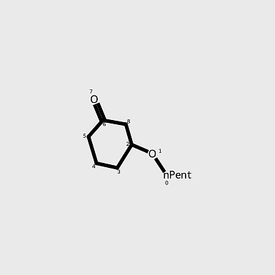 CCCCCOC1CCCC(=O)C1